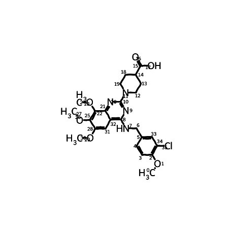 COc1ccc(CNc2nc(N3CCC(C(=O)O)CC3)nc3c(OC)c(OC)c(OC)cc23)cc1Cl